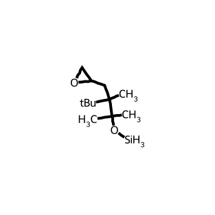 CC(C)(C)C(C)(CC1CO1)C(C)(C)O[SiH3]